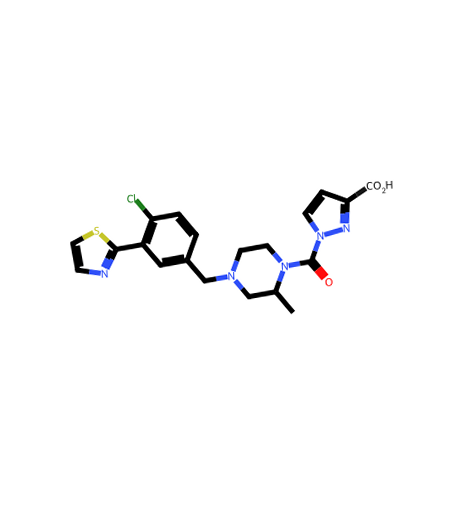 CC1CN(Cc2ccc(Cl)c(-c3nccs3)c2)CCN1C(=O)n1ccc(C(=O)O)n1